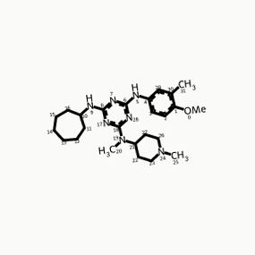 COc1ccc(Nc2nc(NC3CCCCCC3)nc(N(C)C3CCN(C)CC3)n2)cc1C